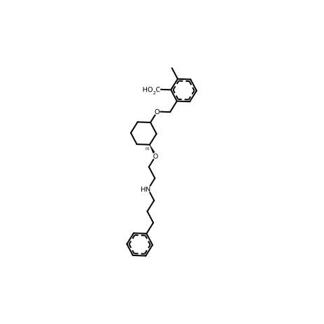 Cc1cccc(COC2CCC[C@H](OCCNCCCc3ccccc3)C2)c1C(=O)O